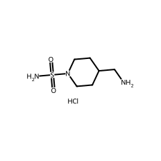 Cl.NCC1CCN(S(N)(=O)=O)CC1